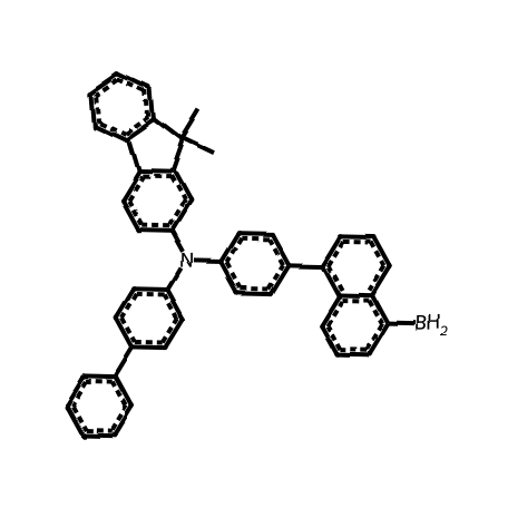 Bc1cccc2c(-c3ccc(N(c4ccc(-c5ccccc5)cc4)c4ccc5c(c4)C(C)(C)c4ccccc4-5)cc3)cccc12